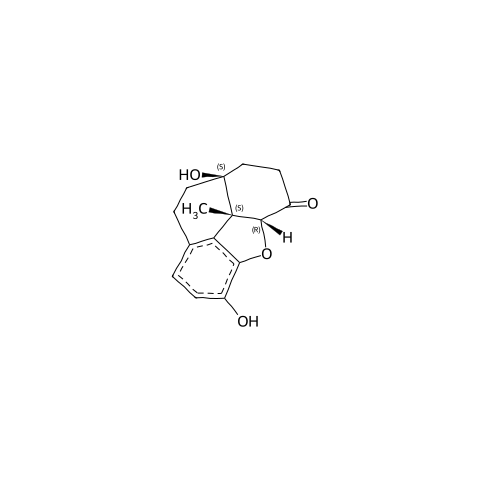 C[C@]12c3c4ccc(O)c3O[C@H]1C(=O)CC[C@@]2(O)CC4